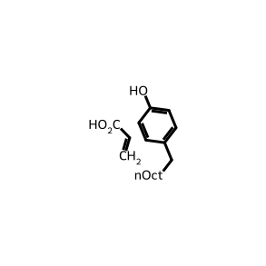 C=CC(=O)O.CCCCCCCCCc1ccc(O)cc1